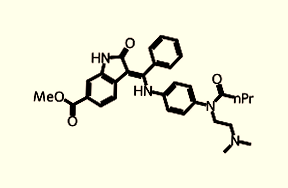 CCCC(=O)N(CCN(C)C)c1ccc(NC(=C2C(=O)Nc3cc(C(=O)OC)ccc32)c2ccccc2)cc1